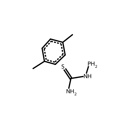 Cc1ccc(C)cc1.NC(=S)NP